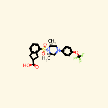 C[C@@H]1CN(c2ccc(OC(F)(F)F)cc2)C[C@H](C)N1S(=O)(=O)c1cccc2c1CC(C(=O)O)C2